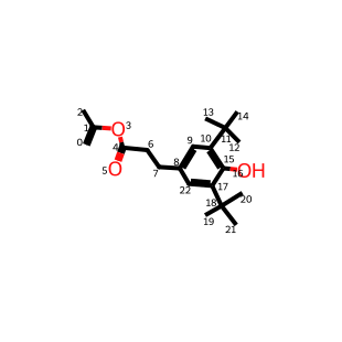 C=C(C)OC(=O)CCc1cc(C(C)(C)C)c(O)c(C(C)(C)C)c1